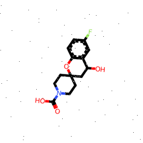 O=C(O)N1CCC2(CC1)CC(O)c1cc(F)ccc1O2